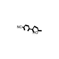 C=C(O)/C=C\C(=C)C(=C)/C=C\C(=C)C#N